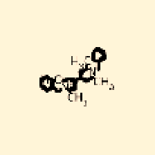 Cc1cc(-c2cc(C)[n+](Cc3ccccc3)c(C)c2)cc(C)[n+]1Cc1ccccc1